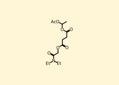 CCN(CC)C(=O)COC(=O)CCC(=O)OC(C)OC(C)=O